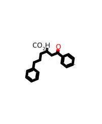 O=C(CC(CCCc1ccccc1)C(=O)O)c1cc[c]cc1